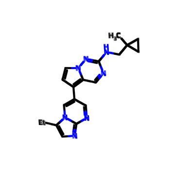 CCc1cnc2ncc(-c3ccn4nc(NCC5(C)CC5)ncc34)cn12